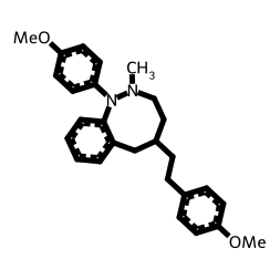 COc1ccc(CCC2CCN(C)N(c3ccc(OC)cc3)c3ccccc3C2)cc1